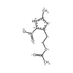 CC(=O)OCCc1nc(C)[nH]c1[N+](=O)[O-]